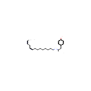 CCCCC/C=C\C/C=C\CCCCCCCCNC(Cc1ccc(O)cc1)C(=O)O